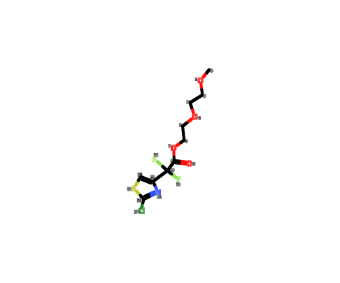 COCCOCCOC(=O)C(F)(F)c1csc(Cl)n1